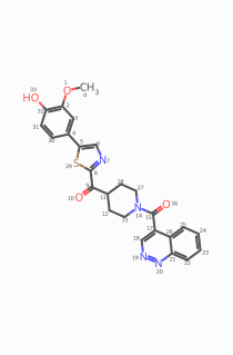 COc1cc(-c2cnc(C(=O)C3CCN(C(=O)c4cnnc5ccccc45)CC3)s2)ccc1O